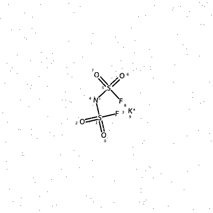 O=S(=O)(F)[N-]S(=O)(=O)F.[K+]